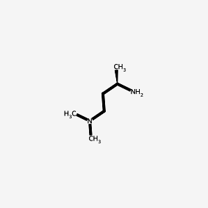 C[C@@H](N)CCN(C)C